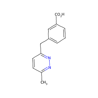 Cc1ccc(Cc2cccc(C(=O)O)c2)nn1